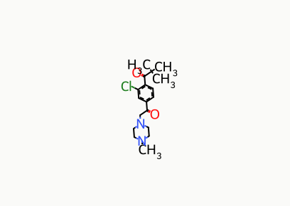 CN1CCN(CC(=O)c2ccc(C(=O)C(C)(C)C)c(Cl)c2)CC1